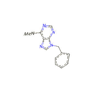 CNc1ncnc2c1ncn2Cc1ccccc1